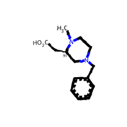 CN1CCN(Cc2ccccc2)C[C@H]1CC(=O)O